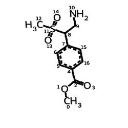 COC(=O)c1ccc(C(CN)S(C)(=O)=O)cc1